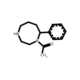 CC(=O)N1CCNCCCC1c1ccccc1